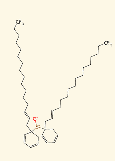 [O-][S+](C1(CC=CCCCCCCCCCCCCC(F)(F)F)C=CC=CC1)C1(CC=CCCCCCCCCCCCCC(F)(F)F)C=CC=CC1